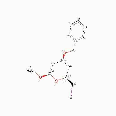 CO[C@H]1C[C@@H](OCc2ccccc2)C[C@@H](CI)O1